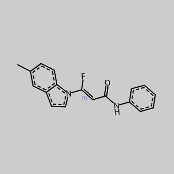 Cc1ccc2c(ccn2/C(F)=C/C(=O)Nc2ccccc2)c1